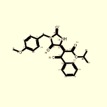 COc1ccc(CN2C(=O)NC(=C(C(=O)OC(C)C)C(=O)c3ccccc3)C2=O)cc1